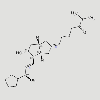 CN(C)C(=O)CSC/C=C1\C[C@H]2C[C@@H](O)[C@H](/C=C/[C@@H](O)C3CCCC3)[C@H]2C1